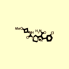 COC1CC(NC(=O)N2CCn3nc(-c4cccc(Cl)c4)c(C(N)=O)c3C2)C1